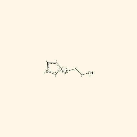 CCCO.c1ccoc1